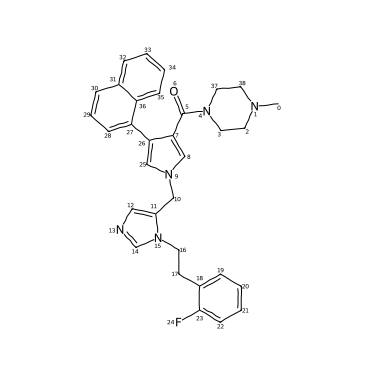 CN1CCN(C(=O)c2cn(Cc3cncn3CCc3ccccc3F)cc2-c2cccc3ccccc23)CC1